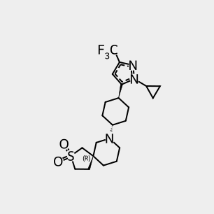 O=S1(=O)CC[C@@]2(CCCN([C@H]3CC[C@H](c4cc(C(F)(F)F)nn4C4CC4)CC3)C2)C1